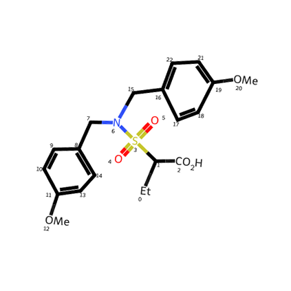 CCC(C(=O)O)S(=O)(=O)N(Cc1ccc(OC)cc1)Cc1ccc(OC)cc1